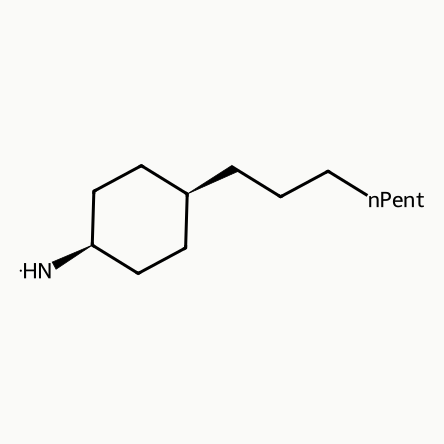 CCCCCCCC[C@H]1CC[C@@H]([NH])CC1